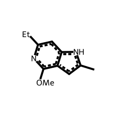 CCc1cc2[nH]c(C)cc2c(OC)n1